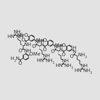 COc1ccc(C(N)=O)cc1NC(=O)[C@@H](CCCNC(=N)N)NC(=O)c1cc(NC(=O)[C@@H](CCCNC(=N)N)NC(=O)c2cc(NC(=O)[C@@H](CCCNC(=N)N)NC(=O)c3cc(NC(=O)[C@H](N)CCCNC(=N)N)ccc3OC)ccc2OC)ccc1OC